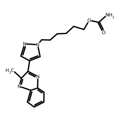 Cc1nc2ccccc2nc1-c1cnn(CCCCCCOC(N)=O)c1